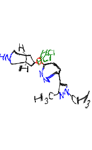 Cc1nn(C)cc1-c1ccc(O[C@H]2C[C@H]3CNC[C@H]3C2)nn1.Cl.Cl